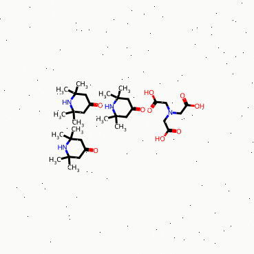 CC1(C)CC(=O)CC(C)(C)N1.CC1(C)CC(=O)CC(C)(C)N1.CC1(C)CC(=O)CC(C)(C)N1.O=C(O)CN(CC(=O)O)CC(=O)O